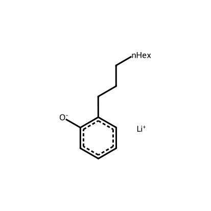 CCCCCCCCCc1ccccc1[O-].[Li+]